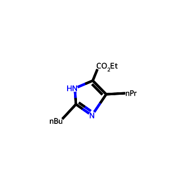 CCCCc1nc(CCC)c(C(=O)OCC)[nH]1